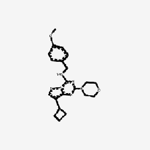 COc1ccc(CNc2nc(N3CCOCC3)nc3c(C4CCC4)cnn23)cc1